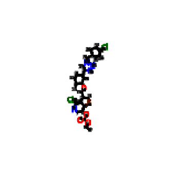 CCOC(=O)Oc1cnc(Cl)c2c(COc3cc(-c4cn(Cc5ccc(Cl)cc5)nn4)ccc3C)csc12